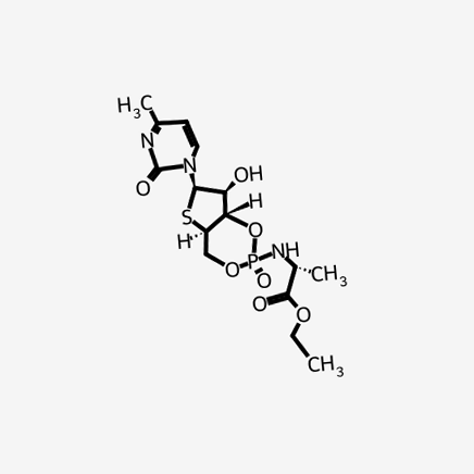 CCOC(=O)[C@@H](C)NP1(=O)OC[C@H]2S[C@@H](n3ccc(C)nc3=O)[C@@H](O)[C@@H]2O1